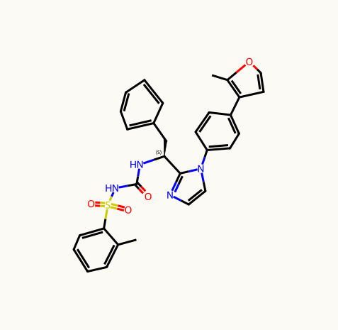 Cc1ccccc1S(=O)(=O)NC(=O)N[C@@H](Cc1ccccc1)c1nccn1-c1ccc(-c2ccoc2C)cc1